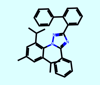 Cc1cc(C(C)C)c(-n2nc(-c3ccccc3-c3ccccc3)nc2-c2ccccc2)c(C(C)C)c1